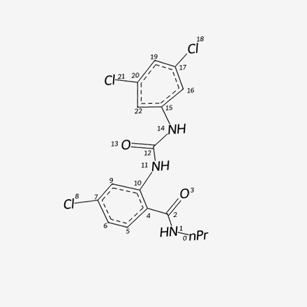 CCCNC(=O)c1ccc(Cl)cc1NC(=O)Nc1cc(Cl)cc(Cl)c1